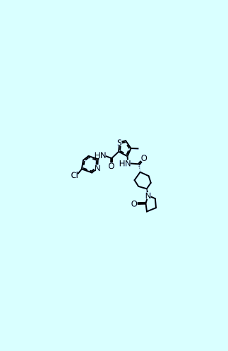 Cc1csc(C(=O)Nc2ccc(Cl)cn2)c1NC(=O)[C@H]1CC[C@H](N2CCCC2=O)CC1